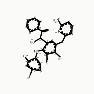 Nc1cccc(Cc2cc(C(O)C(=O)c3ccccc3)c(Nc3ccc(I)cc3F)c(F)c2F)n1